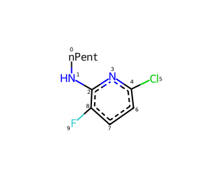 CCCCCNc1nc(Cl)ccc1F